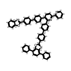 c1ccc(-c2ccc(-c3ccccc3)c3oc(-c4ccc(-c5ccc(-c6nc(-c7ccccn7)ccc6-c6ccc(-c7ccc(-c8nc9ccccc9o8)cc7)cc6)cc5)cc4)nc23)cc1